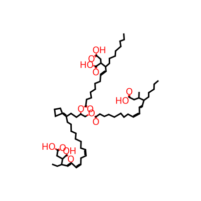 CCCCCCCCC(/C=C/CCCCCCC(=O)OC(CCC(CCCCCCC/C=C\C/C=C\C=C\C(CC)C(CC(=O)O)C(=O)O)=C1CCC1)COC(=O)CCCCCCC/C=C\C=C\C(CCCCC)C(C)CC(=O)O)C(CC(=O)O)C(=O)O